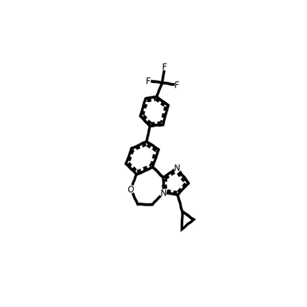 FC(F)(F)c1ccc(-c2ccc3c(c2)-c2ncc(C4CC4)n2CCO3)cc1